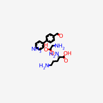 N.NCC(=O)O.NCCC[C@H](N)C(=O)O.O=Cc1ccc(-c2ccccc2)cc1